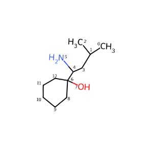 CC(C)CC(N)C1(O)CCCCC1